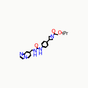 CC(C)OCC(=O)N1CC(c2ccc(NC(=O)NCc3ccn4ccnc4c3)cc2)C1